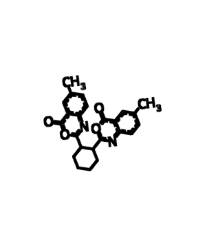 Cc1ccc2nc(C3CCCCC3c3nc4ccc(C)cc4c(=O)o3)oc(=O)c2c1